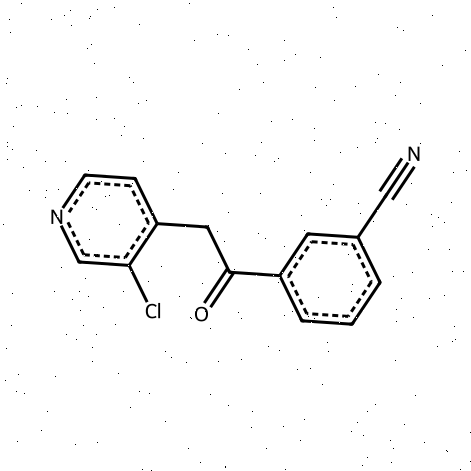 N#Cc1cccc(C(=O)Cc2ccncc2Cl)c1